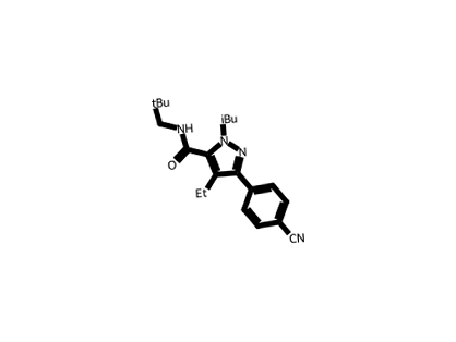 CCc1c(-c2ccc(C#N)cc2)nn(C(C)CC)c1C(=O)NCC(C)(C)C